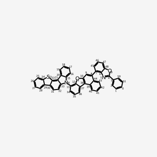 c1ccc(-c2nc3c(-c4cc5oc6c(-n7c8ccccc8c8c9sc%10ccccc%10c9ccc87)cccc6c5c5ccccc45)cccc3o2)cc1